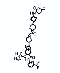 CC(C)Oc1cc2nc(C3CCN(CC(=O)N4CCC(c5ccc(NC6CCC(=O)NC6=O)cc5)CC4)CC3)cn2cc1C(=O)Nc1cccc(C(F)F)n1